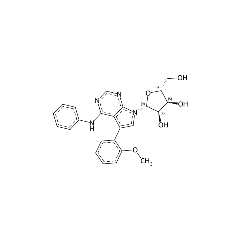 COc1ccccc1-c1cn([C@@H]2O[C@H](CO)[C@@H](O)[C@H]2O)c2ncnc(Nc3ccccc3)c12